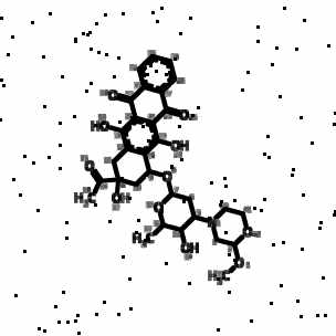 COC1CN(C2CC(OC3CC(O)(C(C)=O)Cc4c(O)c5c(c(O)c43)C(=O)c3ccccc3C5=O)OC(C)C2O)CCO1